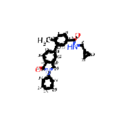 Cc1ccc(C(=O)NCC2CC2)cc1-c1ccc2c(c1)CN(c1ccccc1)C2=O